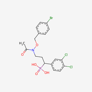 CC(=O)N(CCC(c1ccc(Cl)c(Cl)c1)P(=O)(O)O)OCc1ccc(Br)cc1